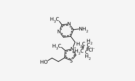 C=C.C=C.Cc1ncc(C[n+]2csc(CCO)c2C)c(N)n1.[Cl-]